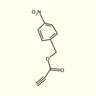 C#CC(=O)OCc1ccc([N+](=O)[O-])cc1